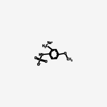 COc1ccc(NS(=O)(=O)[O-])c(C)c1.[Na+]